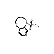 CS(=O)(=O)N1CCCCCc2ccncc21